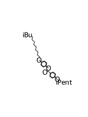 CCC[C@@H](C)Oc1ccc(C(=O)Oc2ccc(OCCCCCCCCC[C@@H](C)CC)cc2)cc1